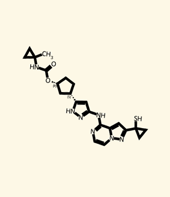 CC1(NC(=O)O[C@@H]2CC[C@H](c3cc(Nc4nccn5nc(C6(S)CC6)cc45)n[nH]3)C2)CC1